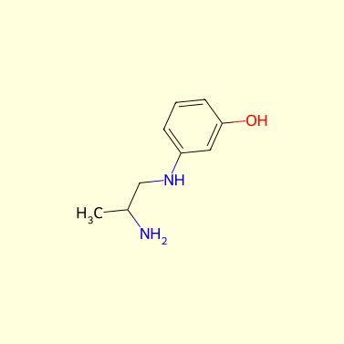 CC(N)CNc1cccc(O)c1